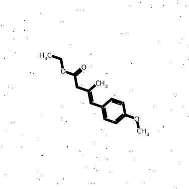 CCOC(=O)C/C(C)=C/c1ccc(OC)cc1